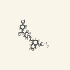 COc1ccc(CCN2CCN(C(=O)c3ccc(Cl)cc3)CC2)c2ccccc12